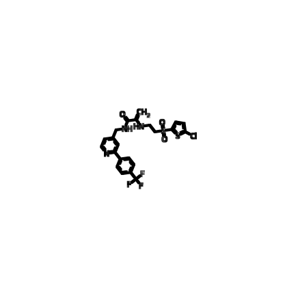 C=C(NCCS(=O)(=O)c1ccc(Cl)s1)C(=O)NCc1ccnc(-c2ccc(C(F)(F)F)cc2)c1